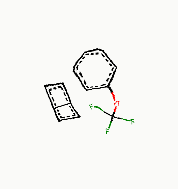 FC(F)(F)Oc1ccccc1.c1cc2ccc1-2